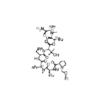 CCC[C@@H](C(=O)NC(CC(C)C)C(=O)N(C)C(C(=O)OC(C(=O)N(C)[C@@H](CCC)C(N)=O)[C@H](C)CC)C(C)(C)O)N(C)C(=O)C(NC(=O)C1CCCN1COCC)C(C)CC